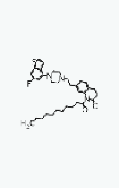 C=CCCCCCCCCC(=O)N1C(=O)CCc2ccc(CCN3CCN(c4cc(F)cc5sccc45)CC3)cc21